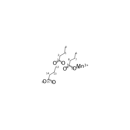 CCCC(=O)[O-].CCCC(=O)[O-].CCCC(=O)[O-].[Mn+3]